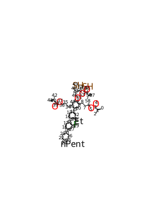 C=C(C)C(=O)OCCCc1cc(-c2ccc(-c3ccc(C4CCC(CCCCC)CC4)cc3F)c(CC)c2)c(CCCOC(=O)C(=C)C)cc1OCC(CS)C(CS)OC(=O)C(=C)C